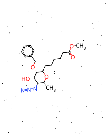 COC(=O)CCCCC[C]1O[C@H](C)[C@@H](N=[N+]=[N-])[C@H](O)[C@@H]1OCc1ccccc1